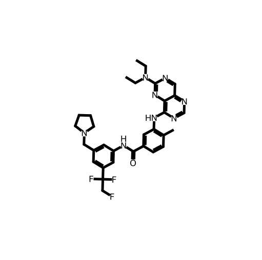 CCN(CC)c1ncc2ncnc(Nc3cc(C(=O)Nc4cc(CN5CCCC5)cc(C(F)(F)CF)c4)ccc3C)c2n1